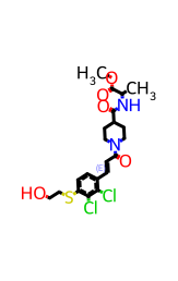 COC(=O)C(C)NC(=O)C1CCN(C(=O)/C=C/c2ccc(SCCO)c(Cl)c2Cl)CC1